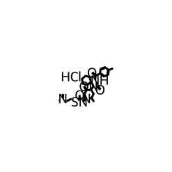 Cc1ccc(C(=O)NC2(N(C=O)C(CC(C)C)C(=O)c3nnc(SCCN(C)C)o3)CCCCC2)cc1.Cl